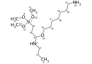 CCCNC(CC[Si](OC)(OC)OC)OCCCCCCCN